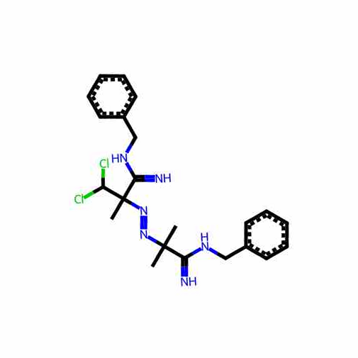 CC(C)(N=NC(C)(C(=N)NCc1ccccc1)C(Cl)Cl)C(=N)NCc1ccccc1